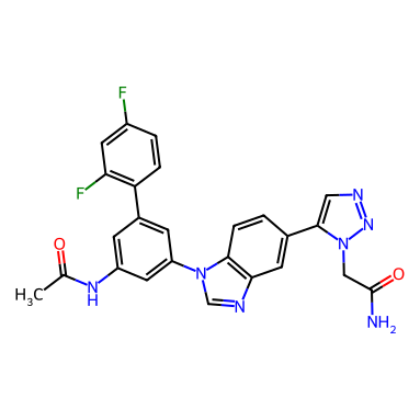 CC(=O)Nc1cc(-c2ccc(F)cc2F)cc(-n2cnc3cc(-c4cnnn4CC(N)=O)ccc32)c1